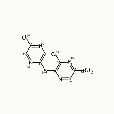 Nc1cnc(Sc2cnc(Cl)cn2)c(Cl)n1